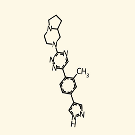 Cc1cc(-c2cn[nH]c2)ccc1-c1cnc(N2CCN3CCCC3C2)nn1